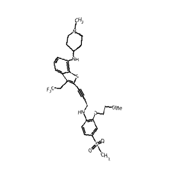 COCCOc1cc(S(C)(=O)=O)ccc1NCC#Cc1sc2c(NC3CCN(C)CC3)cccc2c1CC(F)(F)F